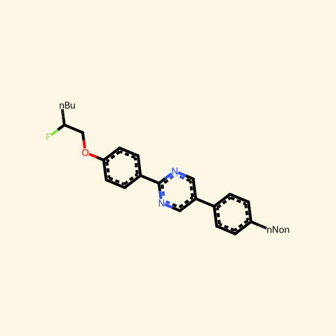 CCCCCCCCCc1ccc(-c2cnc(-c3ccc(OCC(F)CCCC)cc3)nc2)cc1